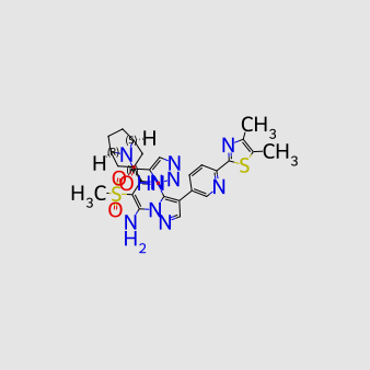 Cc1nc(-c2ccc(-c3cnn4c(N)c(S(C)(=O)=O)c([C@H]5C[C@H]6CC[C@@H](C5)N6C(=O)c5cnn[nH]5)nc34)cn2)sc1C